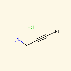 CCC#CCN.Cl